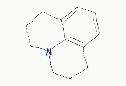 c1cc2c3c(c1)CCCN3CCC2